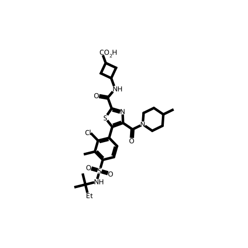 CCC(C)(C)NS(=O)(=O)c1ccc(-c2sc(C(=O)NC3CC(C(=O)O)C3)nc2C(=O)N2CCC(C)CC2)c(Cl)c1C